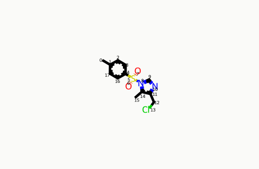 Cc1ccc(S(=O)(=O)n2cnc(CCl)c2C)cc1